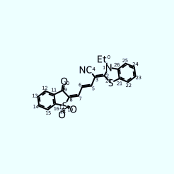 CCN1C(=C(C#N)C=CC=C2C(=O)c3ccccc3S2(=O)=O)Sc2ccccc21